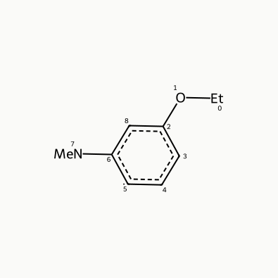 CCOc1cc[c]c(NC)c1